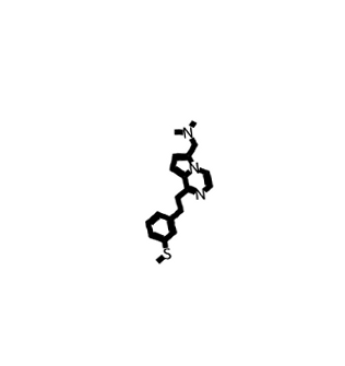 CSc1cccc(CCc2nccn3c(CN(C)C)ccc23)c1